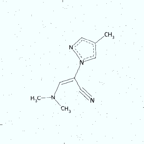 Cc1cnn(/C(C#N)=C/N(C)C)c1